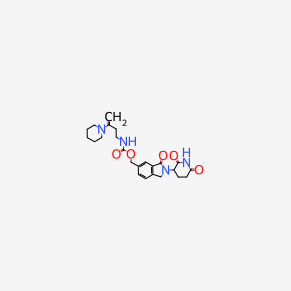 C=C(CCNC(=O)OCc1ccc2c(c1)C(=O)N(C1CCC(=O)NC1=O)C2)N1CCCCC1